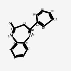 CC1=Nc2ccccc2N=C(c2ccccc2)C1